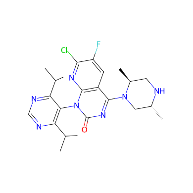 CC(C)c1ncnc(C(C)C)c1-n1c(=O)nc(N2C[C@@H](C)NC[C@@H]2C)c2cc(F)c(Cl)nc21